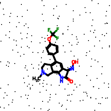 CN1CCc2c(-c3ccc(OC(F)(F)F)cc3)cc3c(c2C1)NC(=O)/C3=N/O